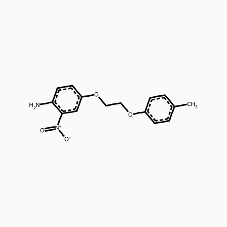 Cc1ccc(OCCOc2ccc(N)c([N+](=O)[O-])c2)cc1